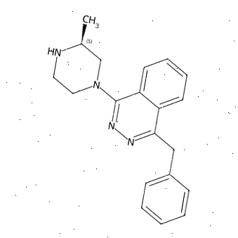 C[C@H]1CN(c2nnc(Cc3ccccc3)c3ccccc23)CCN1